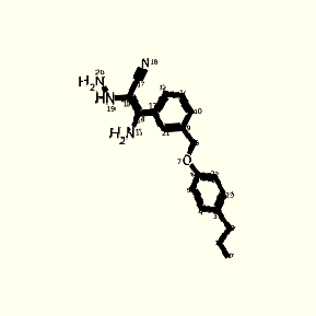 CCCc1ccc(OCc2cccc(/C(N)=C(\C#N)NN)c2)cc1